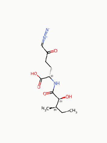 CC[C@@H](C)[C@H](O)C(=O)N[C@@H](CCC(=O)C=[N+]=[N-])C(=O)O